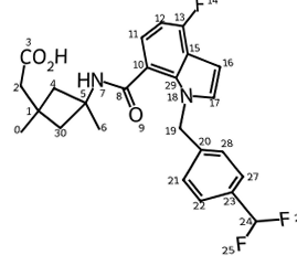 CC1(CC(=O)O)CC(C)(NC(=O)c2ccc(F)c3ccn(Cc4ccc(C(F)F)cc4)c23)C1